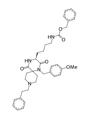 COc1ccc(CN2C(=O)[C@H](CCCCNC(=O)OCc3ccccc3)NC(=O)C23CCN(CCc2ccccc2)CC3)cc1